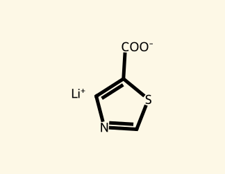 O=C([O-])c1cncs1.[Li+]